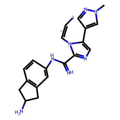 Cn1cc(-c2cnc(C(=N)Nc3ccc4c(c3)CC(N)C4)n2/C=C\I)cn1